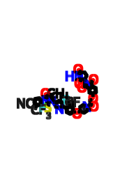 CC1(C)C(=O)N(c2ccc(C#N)c(C(F)(F)F)c2F)C(=S)N1c1cnc(-c2ccc(OC3CCN(C(=O)COc4ccc5c(c4)C(=O)N(C4CCC(=O)NC4=O)C5=O)CC3)cc2C(F)(F)F)c(F)c1